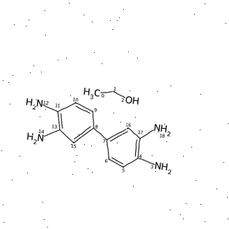 CCO.Nc1ccc(-c2ccc(N)c(N)c2)cc1N